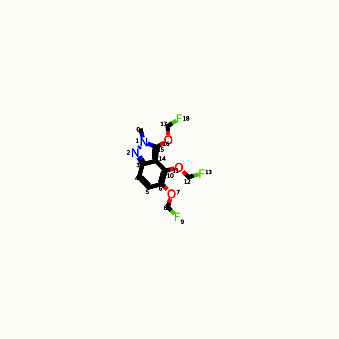 Cn1nc2ccc(OCF)c(OCF)c2c1OCF